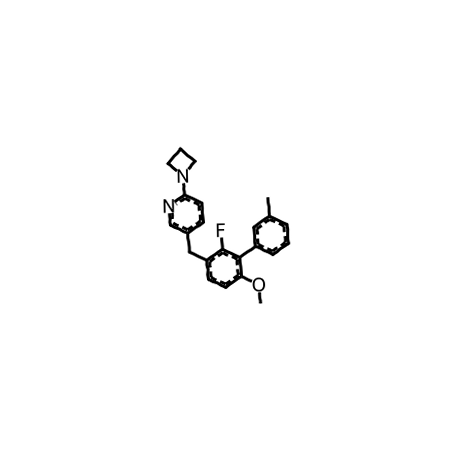 COc1ccc(Cc2ccc(N3CCC3)nc2)c(F)c1-c1cccc(C)c1